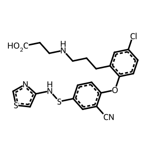 N#Cc1cc(SNc2cscn2)ccc1Oc1ccc(Cl)cc1CCCNCCC(=O)O